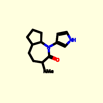 CNC1CCC2CCCC2N(c2cc[nH]c2)C1=O